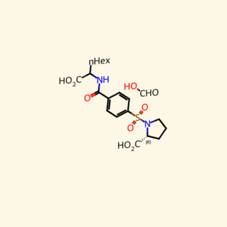 CCCCCCC(NC(=O)c1ccc(S(=O)(=O)N2CCC[C@@H]2C(=O)O)cc1)C(=O)O.O=CO